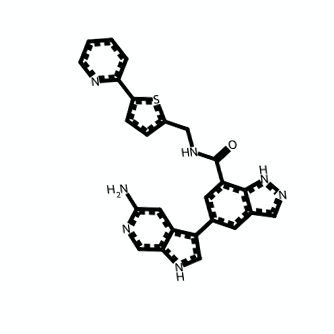 Nc1cc2c(-c3cc(C(=O)NCc4ccc(-c5ccccn5)s4)c4[nH]ncc4c3)c[nH]c2cn1